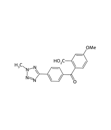 COc1ccc(C(=O)c2ccc(-c3nnn(C)n3)cc2)c(C(=O)O)c1